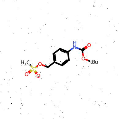 CC(C)(C)OC(=O)Nc1ccc(COS(C)(=O)=O)cc1